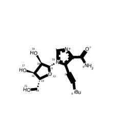 CCC(C)C#Cc1c(C(N)=O)ncn1[C@@H]1O[C@H](CO)[C@@H](O)[C@H]1O